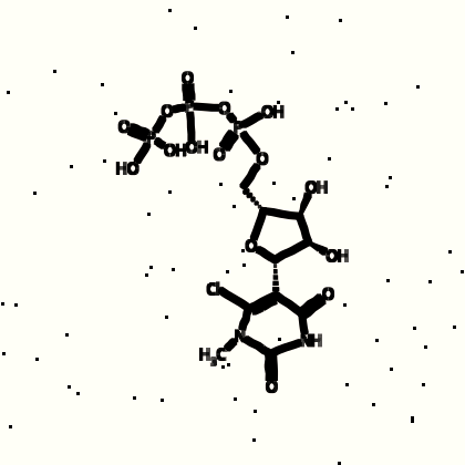 Cn1c(Cl)c([C@@H]2O[C@H](COP(=O)(O)OP(=O)(O)OP(=O)(O)O)[C@@H](O)[C@H]2O)c(=O)[nH]c1=O